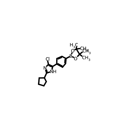 CC1(C)OB(c2ccc(-c3[nH]c(C4CCCC4)nc3Cl)cc2)OC1(C)C